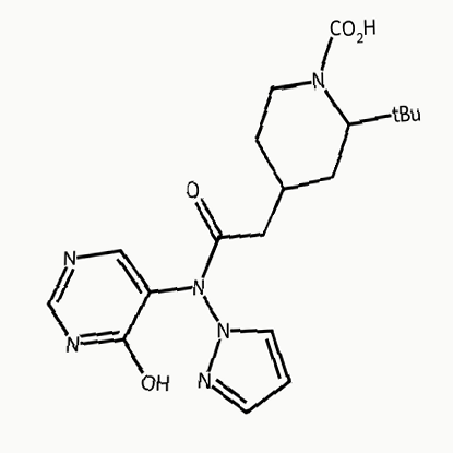 CC(C)(C)C1CC(CC(=O)N(c2cncnc2O)n2cccn2)CCN1C(=O)O